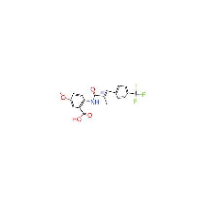 COc1ccc(NC(=O)/C(C)=C/c2ccc(C(F)(F)F)cc2)c(C(=O)O)c1